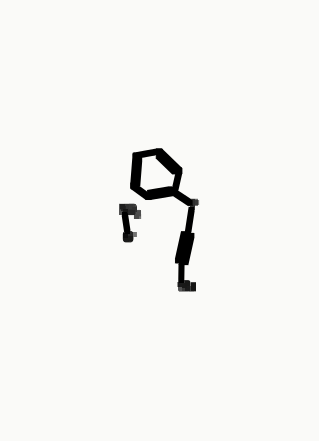 CC(C)(C)C#C[I+]c1ccccc1.O=[N+]([O-])[O-]